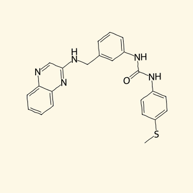 CSc1ccc(NC(=O)Nc2cccc(CNc3cnc4ccccc4n3)c2)cc1